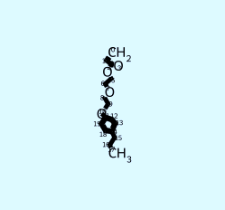 C=CC(=O)OCCOCCOc1ccc(CCC)cc1